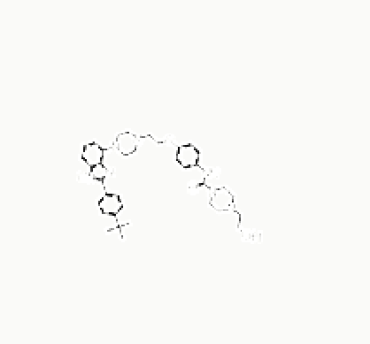 CC(C)(C)c1ccc(-c2nc3c(N4CCN(CCOc5ccc(NC(=O)N6CCN(CCO)CC6)cc5)CC4)cccc3[nH]2)cc1